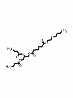 CCCCOCCOC(=O)CCCCC(=O)OCC(COC(=O)CCC)OC(=O)CCC